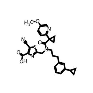 COc1ccc(C2(C(=O)N(CCCc3cccc(C4CC4)c3)Cc3nc(C(=O)O)c(C#N)s3)CC2)nc1